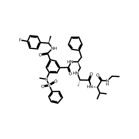 CCNC(=O)[C@@H](NC(=O)[C@H](C)NC[C@H](Cc1ccccc1)NC(=O)c1cc(C(=O)N[C@H](C)c2ccc(F)cc2)cc(N(C)S(=O)(=O)c2ccccc2)c1)C(C)C